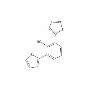 N#Cc1c(-c2cccs2)cccc1-c1cccs1